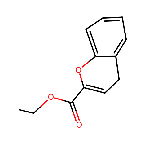 CCOC(=O)C1=CCc2ccccc2O1